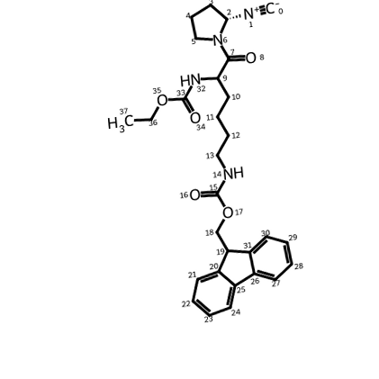 [C-]#[N+][C@H]1CCCN1C(=O)C(CCCCNC(=O)OCC1c2ccccc2-c2ccccc21)NC(=O)OCC